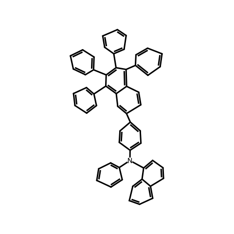 c1ccc(-c2c(-c3ccccc3)c(-c3ccccc3)c3cc(-c4ccc(N(c5ccccc5)c5cccc6ccccc56)cc4)ccc3c2-c2ccccc2)cc1